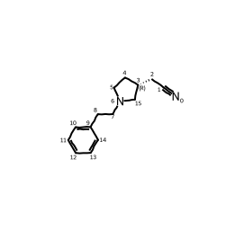 N#CC[C@H]1CCN(CCc2ccccc2)C1